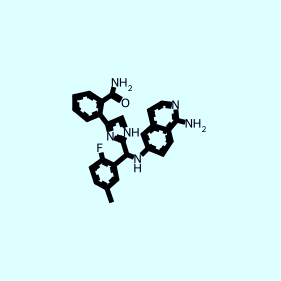 Cc1ccc(F)c(C(Nc2ccc3c(N)nccc3c2)c2nc(-c3ccccc3C(N)=O)c[nH]2)c1